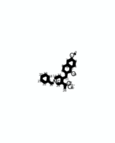 COc1ccc2c(c1)CCC(Cc1cc[n+](Cc3ccccc3)cc1C(C)=O)C2=O.[Cl-]